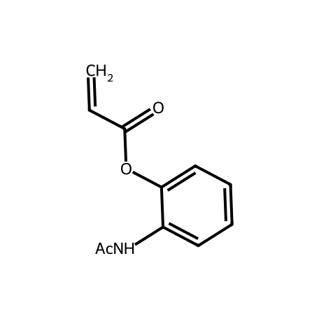 C=CC(=O)Oc1ccccc1NC(C)=O